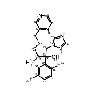 C[C@@H](SSCc1cnccn1)[C@](O)(Cn1cncn1)c1cc(F)ccc1F